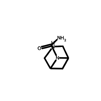 NC(=O)N1C2CNCC1C2